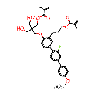 C=C(C)C(=O)OCCCc1cc(-c2ccc(-c3ccc(OCCCCCCCC)cc3)cc2F)ccc1OCC(CO)(CO)COC(=O)C(=C)C